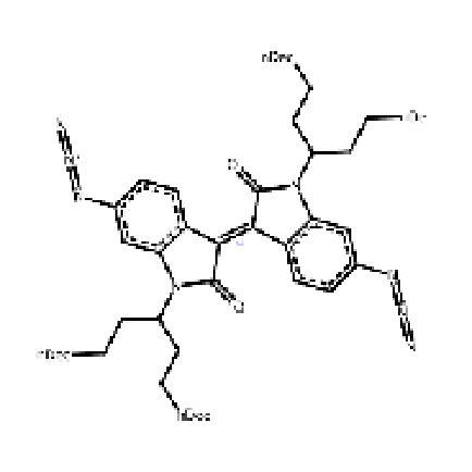 CCCCCCCCCCCCC(CCCCCCCCCCCC)N1C(=O)/C(=C2/C(=O)N(C(CCCCCCCCCCCC)CCCCCCCCCCCC)c3cc(N=[N+]=[N-])ccc32)c2ccc(N=[N+]=[N-])cc21